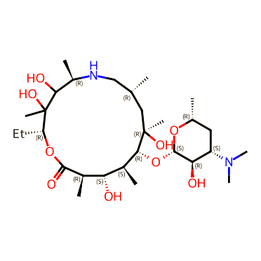 CC[C@H]1OC(=O)[C@H](C)[C@@H](O)[C@H](C)[C@@H](O[C@@H]2O[C@H](C)C[C@H](N(C)C)[C@H]2O)[C@](C)(O)C[C@@H](C)CN[C@H](C)C(O)C1(C)O